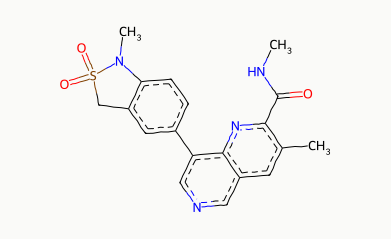 CNC(=O)c1nc2c(-c3ccc4c(c3)CS(=O)(=O)N4C)cncc2cc1C